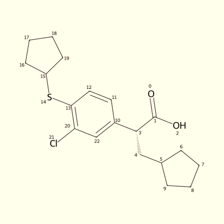 O=C(O)[C@H](CC1CCCC1)c1ccc(SC2CCCC2)c(Cl)c1